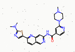 CN1CCN(c2cc(C(=O)Nc3cc4nc(-c5cnc(N(C)C)s5)ccc4cn3)ccn2)CC1